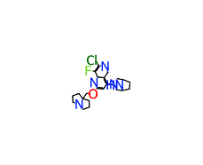 Fc1c(Cl)ncc2c(N3CC4CCC(C3)N4)cc(OCC34CCCN3CCC4)nc12